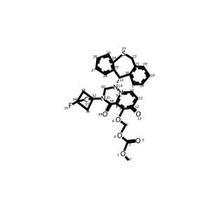 COC(=O)OCOc1c2n(ccc1=O)N([C@H]1c3ccccc3CSc3ccccc31)CN(C13CC(F)(C1)C3)C2=O